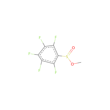 COS(=O)c1c(F)c(F)c(F)c(F)c1F